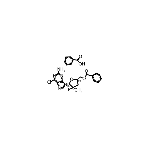 C[C@@]1(F)C[C@H](COC(=O)c2ccccc2)O[C@H]1n1cnc2c(Cl)nc(N)nc21.O=C(O)c1ccccc1